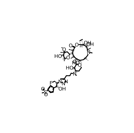 CC[C@H]1OC(=O)[C@H](C)[C@@H](C2C[C@@](C)(OC)[C@@H](O)[C@H](C)O2)[C@H](C)[C@@H](O[C@@H]2OCC[C@H](N(C)CCCc3cn([C@H](CF)[C@H](O)c4ccc(S(C)(=O)=O)cc4)nn3)[C@H]2O)[C@](C)(O)C[C@@H](C)CN(C)[C@H](C)[C@@H](O)[C@]1(C)O